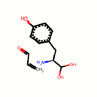 C=CC=O.N[C@@H](Cc1ccc(O)cc1)C(O)O